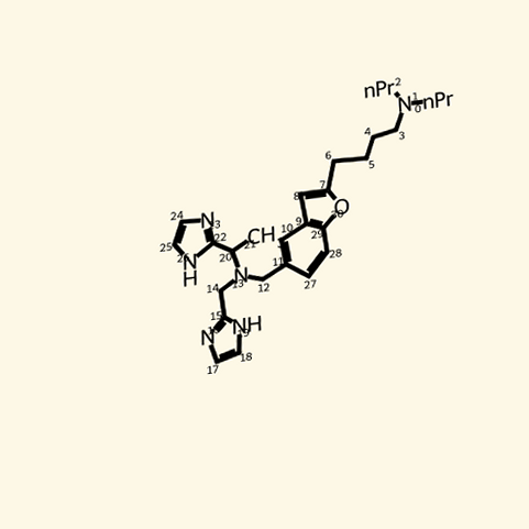 CCCN(CCC)CCCCc1cc2cc(CN(Cc3ncc[nH]3)C(C)c3ncc[nH]3)ccc2o1